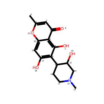 Cc1cc(=O)c2c(O)c(C3CCN(C)CC3O)c(O)cc2o1